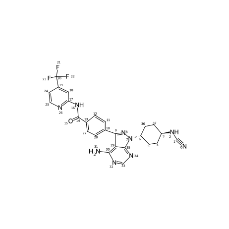 N#CN[C@H]1CC[C@H](n2nc(-c3ccc(C(=O)Nc4cc(C(F)(F)F)ccn4)cc3)c3c(N)ncnc32)CC1